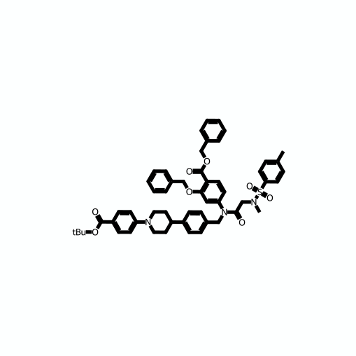 Cc1ccc(S(=O)(=O)N(C)CC(=O)N(Cc2ccc(C3CCN(c4ccc(C(=O)OC(C)(C)C)cc4)CC3)cc2)c2ccc(C(=O)OCc3ccccc3)c(OCc3ccccc3)c2)cc1